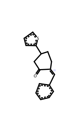 O=C1CC(c2cccs2)CC/C1=C/c1ccccc1